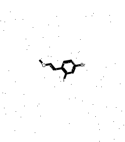 COC=Cc1ccc(Br)cc1I